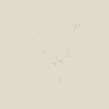 CNC1CC(N(C)c2nc3nnc(-c4ccc(-c5cn[nH]c5)cc4O)cc3s2)C1.O=C(O)C(F)(F)F.O=C(O)C(F)(F)F